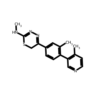 CNC1=NN=C(c2ccc(-c3cnccc3C)c(C)c2)CS1